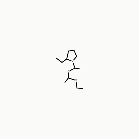 CCOC(C)OC(C)N1CCCC1CC